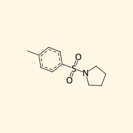 Cc1ccc(S(=O)(=O)N2CCCC2)cc1